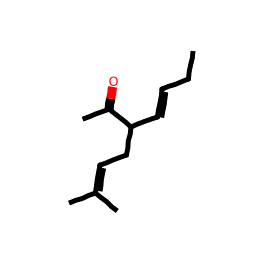 CCC=CC(CC=C(C)C)C(C)=O